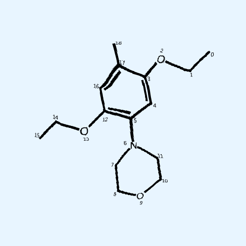 CCOc1cc(N2CCOCC2)c(OCC)cc1C